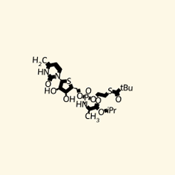 C=C1C=CN([C@@H]2S[C@H](CO[P@](=O)(N[C@H](C)C(=O)OC(C)C)OCCSC(=O)C(C)(C)C)[C@@H](O)[C@H]2O)C(=O)N1